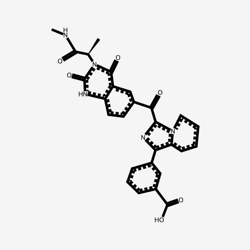 CNC(=O)[C@@H](C)n1c(=O)[nH]c2ccc(C(=O)c3nc(-c4cccc(C(=O)O)c4)c4ccccn34)cc2c1=O